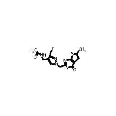 CC(=O)NCc1cn(Cc2nc3sc(C)cc3c(=O)[nH]2)nc1CF